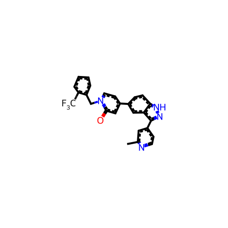 Cc1cc(-c2n[nH]c3ccc(-c4ccn(Cc5ccccc5C(F)(F)F)c(=O)c4)cc23)ccn1